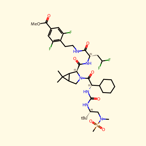 COC(=O)c1cc(F)c(CCNC(=O)[C@H](CC(F)F)NC(=O)[C@@H]2C3C(CN2C(=O)[C@@H](NC(=O)N[C@H](CN(C)S(C)(=O)=O)C(C)(C)C)C2CCCCC2)C3(C)C)c(F)c1